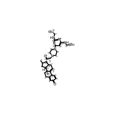 CC1C[C@H]2[C@@H]3CCC4=CC(=O)C=C[C@]4(C)C3=CC[C@]2(C)[C@H]1C(=O)CN1CCN(c2cc(NCC(C)(C)C)nc(NCC(C)(C)C)n2)CC1